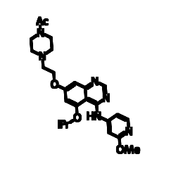 COc1cc(Nc2ncnc3cc(OCCN4CCN(C(C)=O)CC4)cc(OC(C)C)c23)ccn1